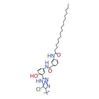 CCCCCCCCCCCCCCCCCC(=O)Nc1cccc(C(=O)Nc2ccc(O)c(-c3nn4nc(C(C)(C)C)c(Cl)c4[nH]3)c2)c1